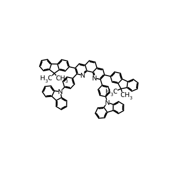 CC1(C)c2ccccc2-c2ccc(-c3cc4ccc5cc(-c6ccc7c(c6)C(C)(C)c6ccccc6-7)c(-c6ccc(-n7c8ccccc8c8ccccc87)cc6)nc5c4nc3-c3ccc(-n4c5ccccc5c5ccccc54)cc3)cc21